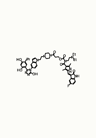 CCN(CC)CCN(C(=O)OCCC(=O)N1CCN(CCn2ccc3cc(-n4c(O)nnc4-c4cc(C(C)C)c(O)cc4O)ccc32)CC1)C(=O)c1c(C)[nH]c(/C=C2\C(=O)Nc3ccc(F)cc32)c1C